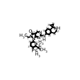 CCn1c(=O)c2cnc(Nc3ccc4c(c3)CCNC43CC3)nc2n1-c1ccc(F)c(C(C)(C)C)n1